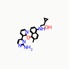 Cc1ccc2c(NC[C@@H](O)C3CC3)cccc2c1Oc1ncccc1-c1ccnc(N)n1